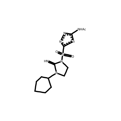 CC(=O)Nc1nnc(S(=O)(=O)N2CCN(C3CCCCC3)C2=N)s1